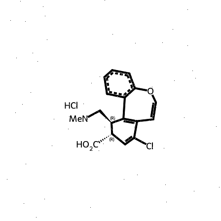 CNC[C@H]1C2=C(C=COc3ccccc32)C(Cl)=C[C@@H]1C(=O)O.Cl